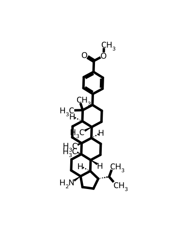 COC(=O)c1ccc(C2CC[C@]3(C)[C@H]4CC[C@@H]5[C@H]6[C@H](C(C)C)CC[C@]6(N)CC[C@@]5(C)[C@]4(C)CC[C@H]3C2(C)C)cc1